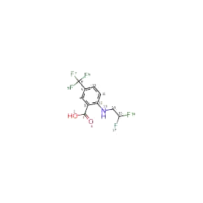 O=C(O)c1cc(C(F)(F)F)ccc1NCC(F)F